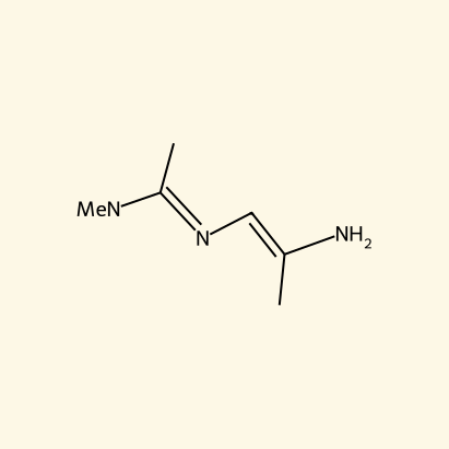 CN/C(C)=N/C=C(\C)N